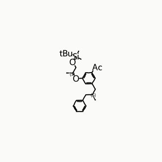 CC(=O)c1cc(C[C@@H](C)Cc2ccccc2)cc(O[C@@H](C)CO[Si](C)(C)C(C)(C)C)c1